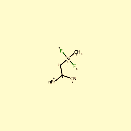 CCCC(C#N)C[Si](C)(F)F